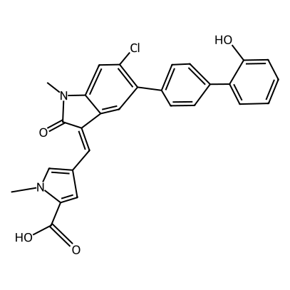 CN1C(=O)C(=Cc2cc(C(=O)O)n(C)c2)c2cc(-c3ccc(-c4ccccc4O)cc3)c(Cl)cc21